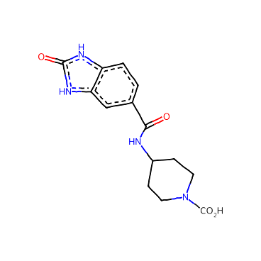 O=C(NC1CCN(C(=O)O)CC1)c1ccc2[nH]c(=O)[nH]c2c1